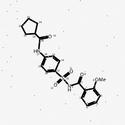 COc1ccccc1C(=O)NS(=O)(=O)c1ccc(NC(=O)C2CCCC2)cc1